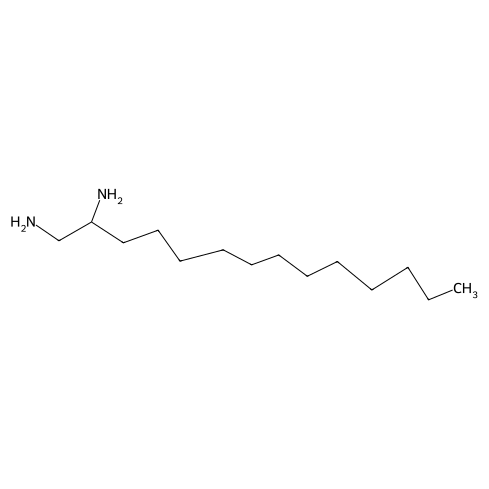 CCCCCCCCCCCCC(N)CN